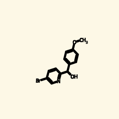 COc1ccc(C(O)c2ccc(Br)cn2)cc1